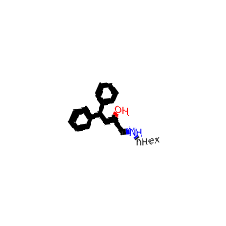 CCCCCCNCC(O)CC(c1ccccc1)c1ccccc1